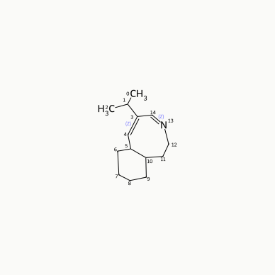 CC(C)C1=C/C2CCCCC2CC/N=C\1